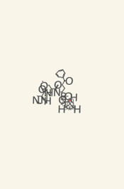 COCC(NC(=O)c1cnccn1)C(=O)NC(CCC(=O)c1ccccc1)B1O[C@@H]2C[C@@H]3C[C@@H](C3(C)C)[C@]2(C)O1